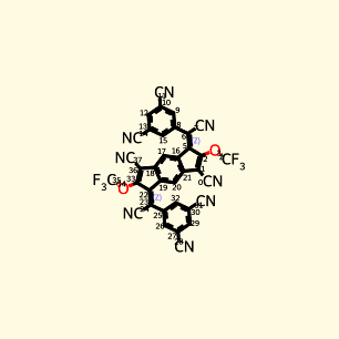 N#CC1=C(OC(F)(F)F)/C(=C(\C#N)c2cc(C#N)cc(C#N)c2)c2cc3c(cc21)/C(=C(/C#N)c1cc(C#N)cc(C#N)c1)C(OC(F)(F)F)=C3C#N